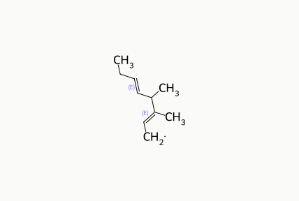 [CH2]/C=C(\C)C(C)/C=C/CC